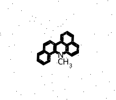 CN1c2c(ccc3ccccc23)-c2cccc3cccc1c23